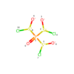 O=P([S+]([O-])Cl)([S+]([O-])Cl)[S+]([O-])Cl